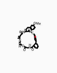 COc1ccc2c(c1)CC[C@H]1NC(=O)CC(C)(C)NC[C@@H](C)OC(=O)CNC(=O)c3ccccc3-c3ccc(cc3)CN2C1=O